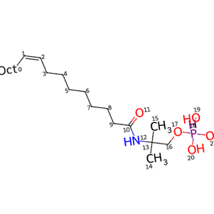 CCCCCCCC/C=C\CCCCCCCC(=O)NC(C)(C)CO[PH](O)(O)O